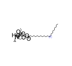 CCCCCCCC/C=C\CCCCCCCCCCCC(=O)Oc1ccc2c3c1O[C@@H](C(=O)CC)[C@]31CCN(CC3CC3)C(C2)[C@@]1(C)O